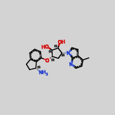 Cc1ccnc2c1ccn2[C@@H]1C[C@H](Oc2cccc3c2[C@H](N)CC3)[C@@H](O)[C@H]1O